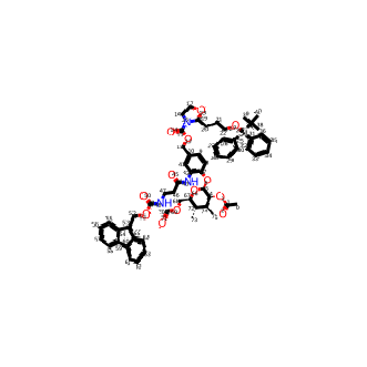 CC(=O)O[C@H]1[C@H](Oc2ccc(COC(=O)N3CCOC3CCCO[Si](c3ccccc3)(c3ccccc3)C(C)(C)C)cc2NC(=O)CCNC(=O)OCC2c3ccccc3-c3ccccc32)O[C@H](COC=O)[C@@H](C)[C@@H]1C